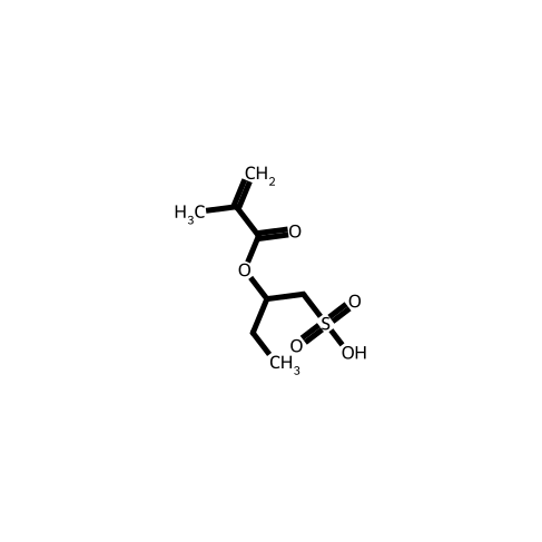 C=C(C)C(=O)OC(CC)CS(=O)(=O)O